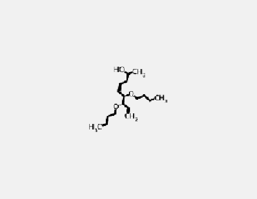 C=C[C@H](OCCCC)[C@@H](/C=C\CC(C)O)OCCCC